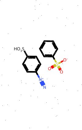 N#[N+]c1ccc(S(=O)(=O)O)cc1.O=S(=O)([O-])c1ccccc1